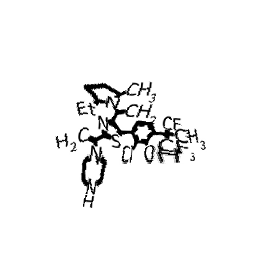 C=C(c1nc(C(=C)N2C(C)CCC2CC)c(-c2ccc(C(C)(C(F)(F)F)C(F)(F)F)c(O)c2Cl)s1)N1CCNCC1